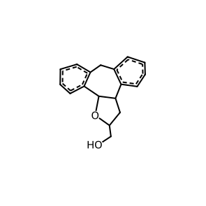 OCC1CC2c3ccccc3Cc3ccccc3C2O1